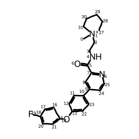 C[N+]1(CCNC(=O)c2cc(-c3ccc(Oc4ccc(F)cc4)cc3)ccn2)CCCCC1